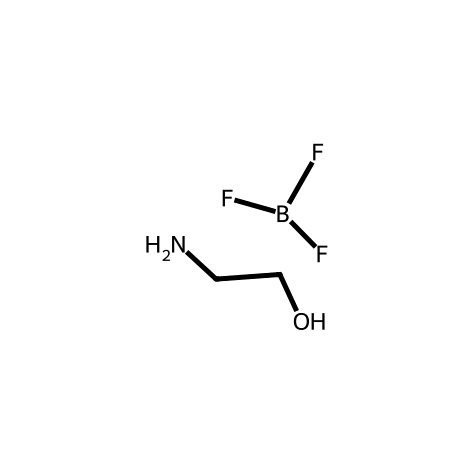 FB(F)F.NCCO